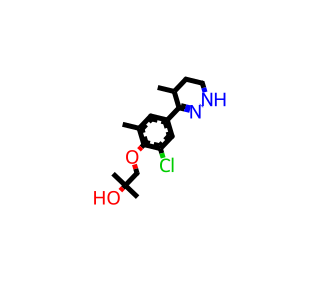 Cc1cc(C2=NNCCC2C)cc(Cl)c1OCC(C)(C)O